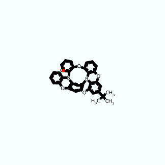 CC(C)(C)c1cc2c3c(c1)Oc1cccc4c1B3c1cc3c(cc1O2)Oc1cccc2c1B3c1c(cccc1O4)O2